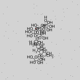 CC1(C)CC[C@]2(C(=O)O[C@@H]3O[C@H](CO)[C@@H](O)[C@H](O)[C@H]3O)CC[C@]3(C)C(=CC[C@@H]4[C@@]5(C)CC[C@H](O[C@@H]6O[C@H](CO)[C@@H](O)[C@H](O[C@@H]7O[C@H](CO)[C@@H](O)[C@H](O[C@@H]8O[C@H](CO)[C@@H](O)[C@H](O)[C@H]8O)[C@H]7O)[C@H]6O[C@@H]6O[C@H](CO)[C@@H](O)[C@H](O)[C@H]6O)C(C)(C)[C@@H]5CC[C@]43C)[C@@H]2C1